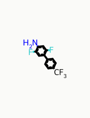 Nc1cc(F)c(-c2ccc(C(F)(F)F)cc2)cc1F